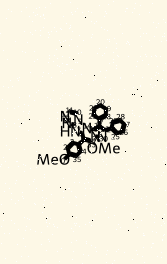 COc1ccc(-c2c(Nc3nccnn3)nc3c(C4=CCCCC4)c(-c4ccccc4)nn3c2OC)cc1